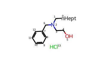 CCCCCCCCN(CCO)Cc1ccccc1.Cl